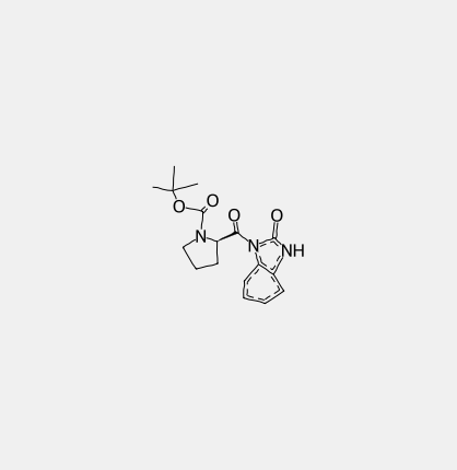 CC(C)(C)OC(=O)N1CCC[C@@H]1C(=O)n1c(=O)[nH]c2ccccc21